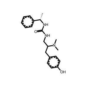 C[C@H](NC(=O)NCC(Cc1ccc(O)cc1)N(C)C)c1ccccc1